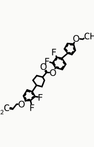 C=CCOc1ccc(C2CCC(C(=O)Oc3ccc(-c4ccc(OCC)cc4)c(F)c3F)CC2)c(F)c1F